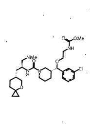 CNC[C@H](C[C@H]1CCC2(CC2)OC1)NC(=O)N1CCC[C@@H](C(OCCNC(=O)OC)c2cccc(Cl)c2)C1